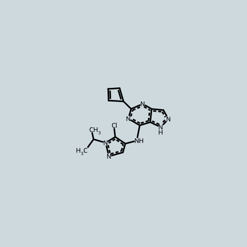 CC(C)n1ncc(Nc2nc(C3=CC=C3)nc3cn[nH]c23)c1Cl